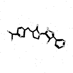 O=C1C(Cc2ccc(C(F)F)nc2)CCN1c1[nH]nc(-c2ccnnc2)c1F